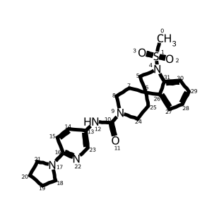 CS(=O)(=O)N1CC2(CCN(C(=O)Nc3ccc(N4CCCC4)nc3)CC2)c2ccccc21